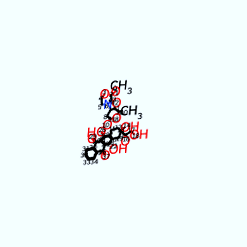 COC1OCCN2C3CC(OC4CC(O)(C(=O)CO)Cc5c(O)c6c(c(O)c54)C(=O)c4ccccc4C6=O)OC(C)C3OC12